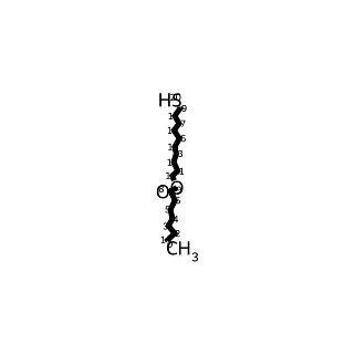 CCCCCCCC(=O)OCCCCCCCCCCS